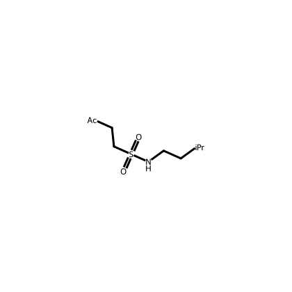 CC(=O)CCS(=O)(=O)NCCC(C)C